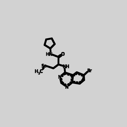 C[Se]CC(Nc1ncnc2ccc(Br)cc12)C(=O)NC1CCCC1